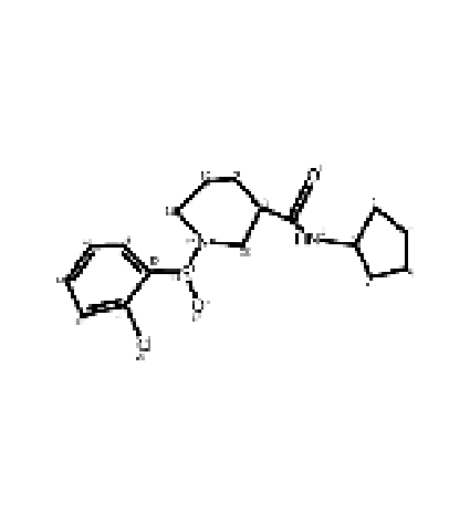 O=C(NC1CCCC1)C1CCCN([S+]([O-])c2ccccc2Cl)C1